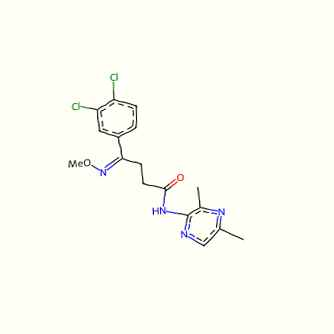 CON=C(CCC(=O)Nc1ncc(C)nc1C)c1ccc(Cl)c(Cl)c1